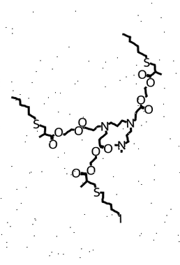 CCCCCCSCC(C)C(=O)OCCOC(=O)CCN(CCCN(C)C)CCCN(CCC(=O)OCCOC(=O)C(C)CSCCCCCC)CCC(=O)OCCOC(=O)C(C)CSCCCCCI